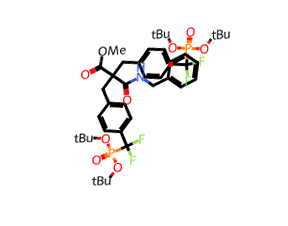 COC(=O)C(Cc1ccc(C(F)(F)P(=O)(OC(C)(C)C)OC(C)(C)C)cc1)(Cc1ccc(C(F)(F)P(=O)(OC(C)(C)C)OC(C)(C)C)cc1)C(=O)NCc1ccccc1